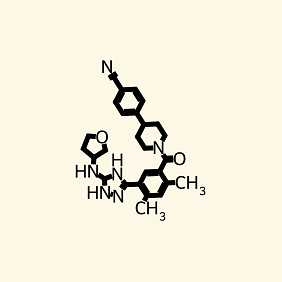 Cc1cc(C)c(C2=NNC(NC3CCOC3)N2)cc1C(=O)N1CCC(c2ccc(C#N)cc2)CC1